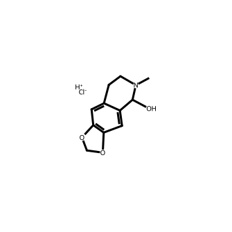 CN1CCc2cc3c(cc2C1O)OCO3.[Cl-].[H+]